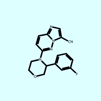 N#Cc1cnc2ccc(N3CCOCC3c3cccc(F)c3)nn12